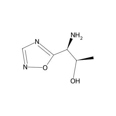 C[C@@H](O)[C@H](N)c1ncno1